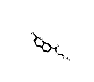 CCOC(=O)c1ccc2ccc(Cl)nc2c1